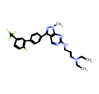 CCN(CC)CCCNc1ncc2c(-c3[c]cc(-c4cc(C(F)(F)F)ccc4F)cc3)nn(C)c2n1